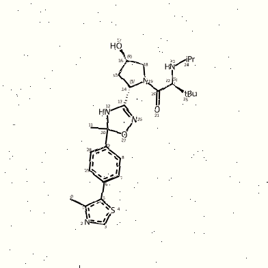 Cc1ncsc1-c1ccc(C2(C)NC([C@@H]3C[C@@H](O)CN3C(=O)[C@@H](NC(C)C)C(C)(C)C)=NO2)cc1